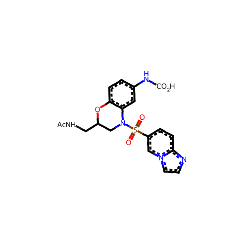 CC(=O)NCC1CN(S(=O)(=O)c2ccc3nccn3c2)c2cc(NC(=O)O)ccc2O1